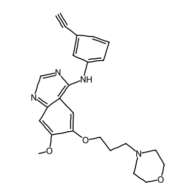 C#Cc1cccc(Nc2ncnc3cc(OC)c(OCCCN4CCOCC4)cc23)c1